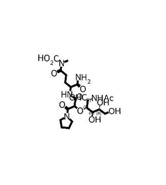 CC(=O)N[C@@H](C=O)[C@@H](OC(C(=O)NC(CCC(=O)N(C)C(=O)O)C(N)=O)C(=O)N1CCCC1)[C@H](O)[C@H](O)CO